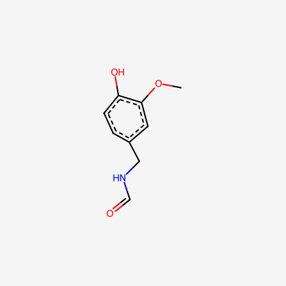 COc1cc(CNC=O)ccc1O